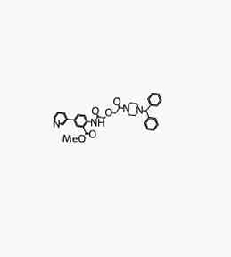 COC(=O)c1cc(-c2cccnc2)ccc1NC(=O)COCC(=O)N1CCN(C(c2ccccc2)c2ccccc2)CC1